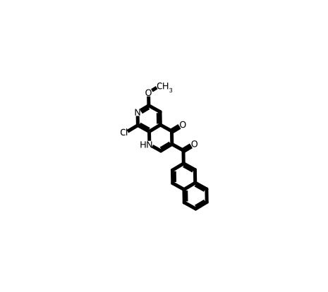 COc1cc2c(=O)c(C(=O)c3ccc4ccccc4c3)c[nH]c2c(Cl)n1